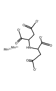 O=C([O-])CC(NC(CC(=O)[O-])C(=O)[O-])C(=O)[O-].[Mn+2].[Mn+2]